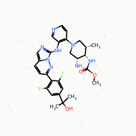 COC(=O)N[C@@H]1[C@H](N)CN(c2ccncc2Nc2ncc3ccc(-c4c(F)cc(C(C)(C)O)cc4F)nn23)C[C@@H]1C